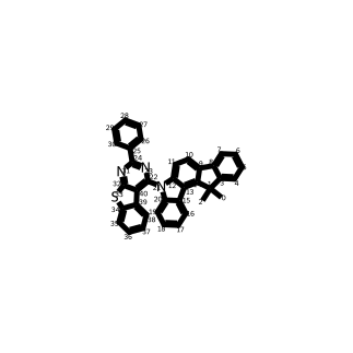 CC1(C)c2ccccc2-c2ccc3c(c21)c1ccccc1n3-c1nc(-c2ccccc2)nc2sc3ccccc3c12